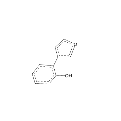 Oc1ccccc1-c1ccoc1